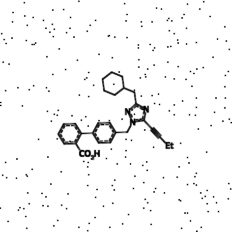 CCC#Cc1nc(CC2CCCCC2)nn1Cc1ccc(-c2ccccc2C(=O)O)cc1